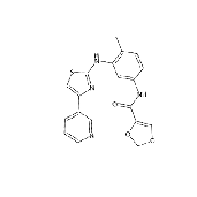 Cc1ccc(NC(=O)C2=COCO2)cc1Nc1nc(-c2cccnc2)cs1